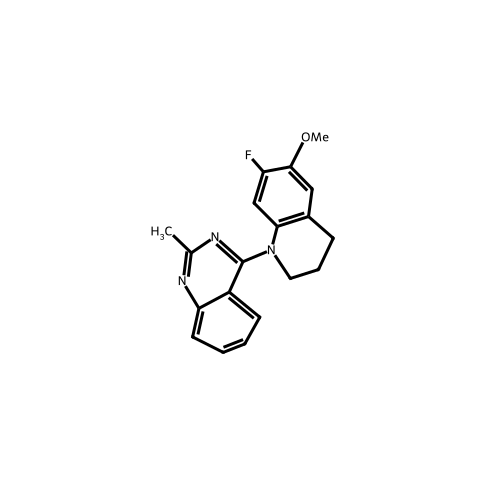 COc1cc2c(cc1F)N(c1nc(C)nc3ccccc13)CCC2